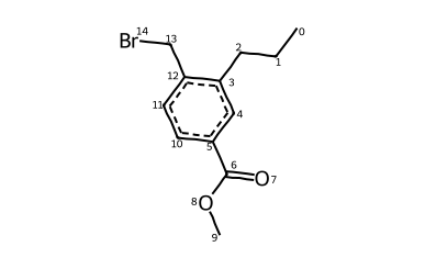 CCCc1cc(C(=O)OC)ccc1CBr